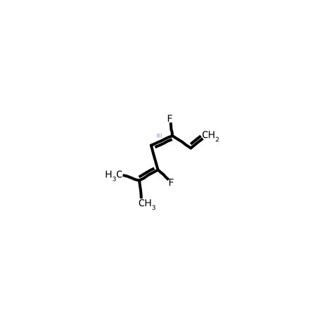 C=C/C(F)=C\C(F)=C(C)C